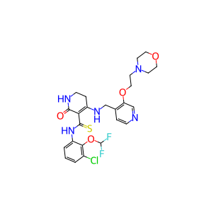 O=C1NCCC(NCc2ccncc2OCCN2CCOCC2)=C1C(=S)Nc1cccc(Cl)c1OC(F)F